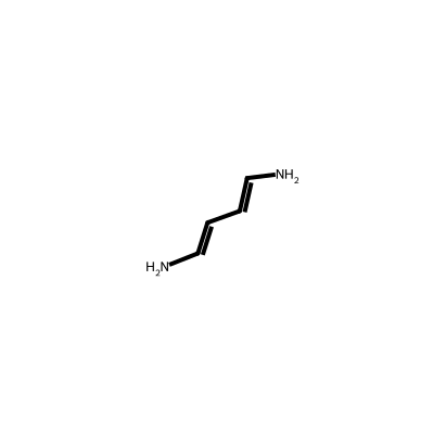 NC=CC=CN